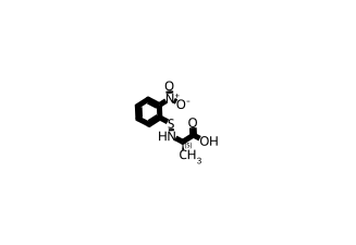 C[C@H](NSc1ccccc1[N+](=O)[O-])C(=O)O